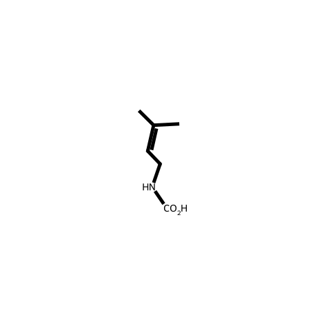 CC(C)=CCNC(=O)O